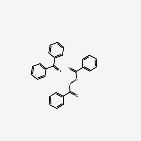 O=C(OOC(=O)c1ccccc1)c1ccccc1.O=C(c1ccccc1)c1ccccc1